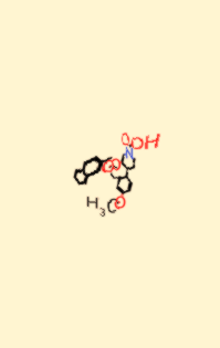 COC1=CC(=C=O)C(C2CCN(C(=O)O)CC2OCc2ccc3ccccc3c2)C=C1